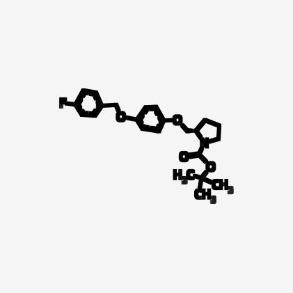 CC(C)(C)OC(=O)N1CCC[C@@H]1COc1ccc(OCc2ccc(F)cc2)cc1